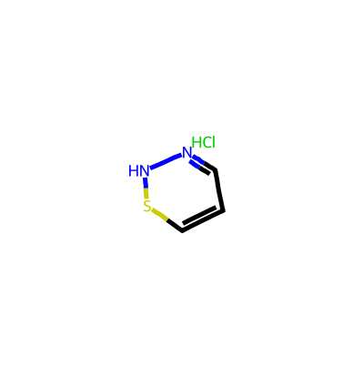 C1=CSNN=C1.Cl